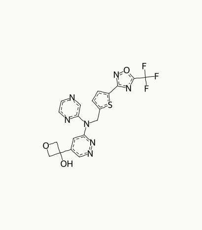 OC1(c2cnnc(N(Cc3ccc(-c4noc(C(F)(F)F)n4)s3)c3cnccn3)c2)COC1